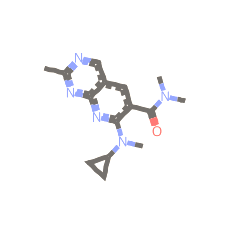 Cc1ncc2cc(C(=O)N(C)C)c(N(C)C3CC3)nc2n1